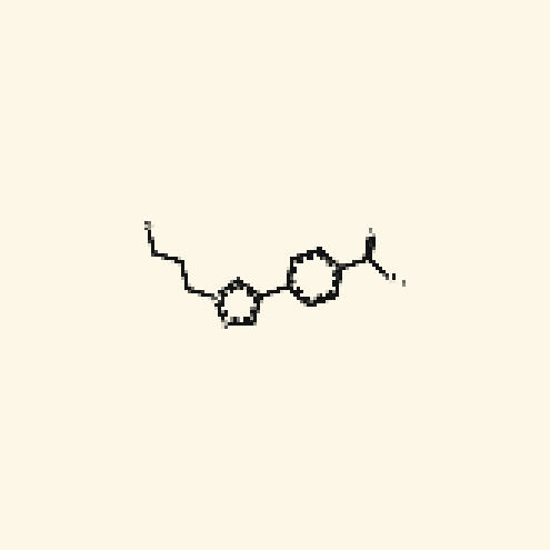 CC(=O)c1ccc(-c2cnn(CCC[S])c2)cc1